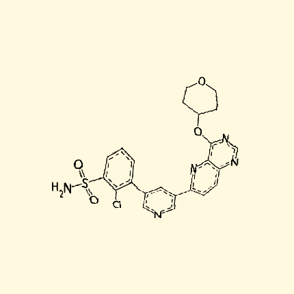 NS(=O)(=O)c1cccc(-c2cncc(-c3ccc4ncnc(OC5CCOCC5)c4n3)c2)c1Cl